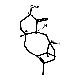 C=C1[C@H]2C[C@@H]3CCC(C)=C(CC[C@]2(C)CC[C@H]1OC)C3(C)C